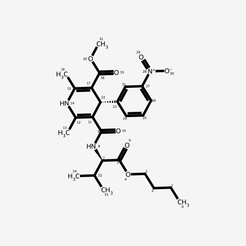 CCCCOC(=O)[C@H](NC(=O)C1=C(C)NC(C)=C(C(=O)OC)[C@@H]1c1cccc([N+](=O)[O-])c1)C(C)C